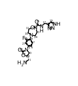 NC[C@H]1CN(c2ccc(N3CCON(C(=O)NCc4c[nH]nn4)CC3)c(F)c2)C(=O)O1